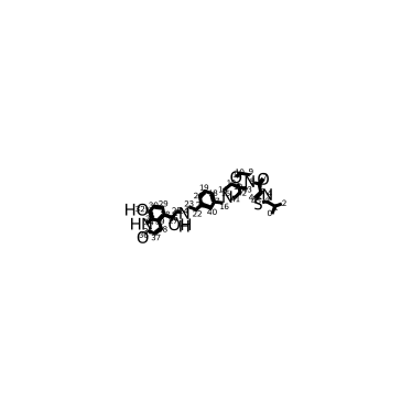 CC(C)c1nc(C(=O)N2CCOC3(CCN(Cc4cccc(CCNC[C@H](O)c5ccc(O)c6[nH]c(=O)ccc56)c4)CC3)C2)cs1